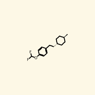 C[C@H]1CC[C@H](CCc2ccc(OC(F)F)cc2)CC1